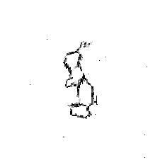 Brc1ccc2oc3c4ccccc4ncc3c2c1